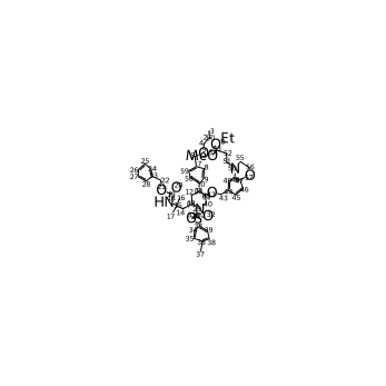 CCO[C@H](C)COCc1ccc([C@H]2C[C@H](CC(C)(C)NC(=O)OCc3ccccc3)N(S(=O)(=O)c3ccc(C)cc3)C[C@@H]2OCc2ccc3c(c2)N(CCCOC)CCO3)cc1